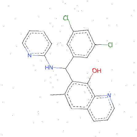 Cc1cc2cccnc2c(O)c1C(Nc1ccccn1)c1cc(Cl)cc(Cl)c1